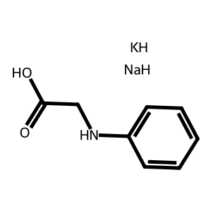 O=C(O)CNc1ccccc1.[KH].[NaH]